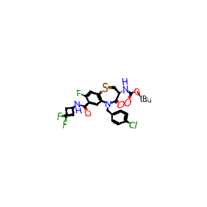 CC(C)(C)OC(=O)N[C@H]1CSc2cc(F)c(C(=O)NC3CC(F)(F)C3)cc2N(Cc2ccc(Cl)cc2)C1=O